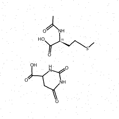 CSCC[C@H](NC(C)=O)C(=O)O.O=C1CC(C(=O)O)NC(=O)N1